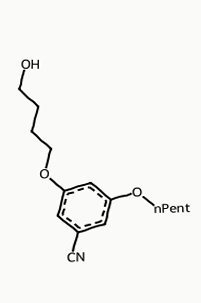 CCCCCOc1cc(C#N)cc(OCCCCO)c1